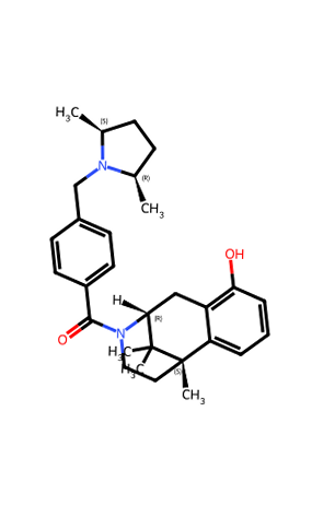 C[C@@H]1CC[C@H](C)N1Cc1ccc(C(=O)N2CC[C@@]3(C)c4cccc(O)c4C[C@@H]2C3(C)C)cc1